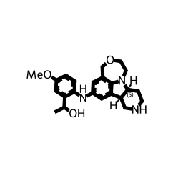 COc1ccc(Nc2cc3c4c(c2)[C@@H]2CNCC[C@@H]2N4CCOC3)c(C(C)O)c1